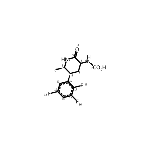 C[C@H]1NC(=O)C(NC(=O)O)C[C@H]1c1cc(F)cc(F)c1F